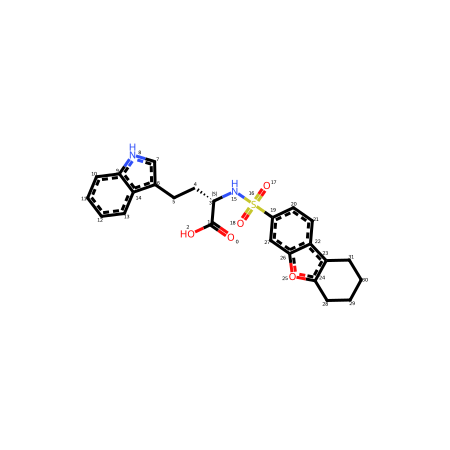 O=C(O)[C@H](CCc1c[nH]c2ccccc12)NS(=O)(=O)c1ccc2c3c(oc2c1)CCCC3